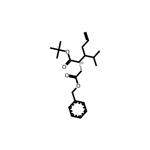 C=CCC(C(C)C)[C@H](CC(=O)OCc1ccccc1)C(=O)OC(C)(C)C